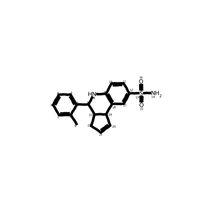 Cc1ccccc1C1Nc2ccc(S(N)(=O)=O)cc2C2C=CCC21